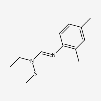 CCN(C=Nc1ccc(C)cc1C)SC